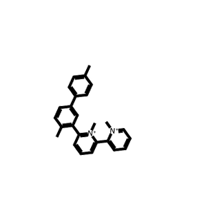 Cc1ccc(-c2ccc(C)c(-c3cccc(-c4cccc[n+]4C)[n+]3C)c2)cc1